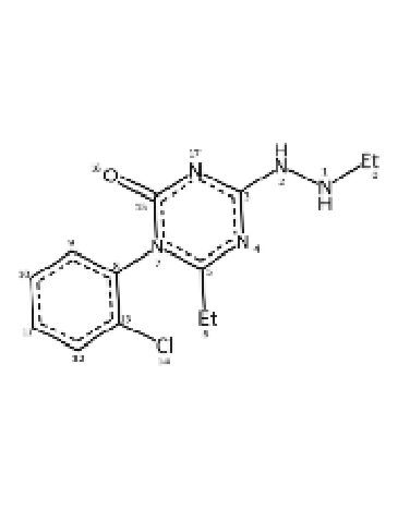 CCNNc1nc(CC)n(-c2ccccc2Cl)c(=O)n1